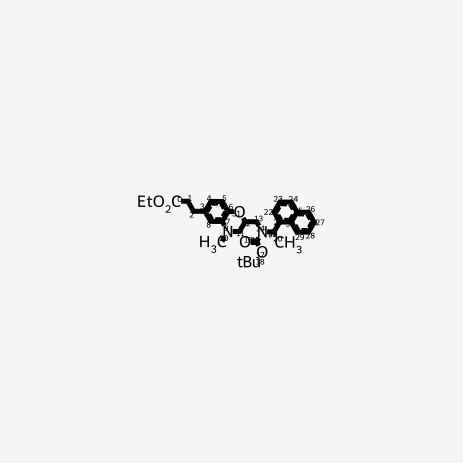 CCOC(=O)CCc1ccc2c(c1)N(C)CC(CN(C(=O)OC(C)(C)C)[C@H](C)c1cccc3ccccc13)O2